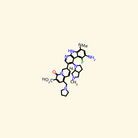 CNc1cc(N)c(F)c2c1[nH]c1ncc(C3C=Cc4c(CN5CCCC5)cc(C(=O)O)c(=O)n4C3)c(N3CCC4CN(C)C[C@H]43)c12